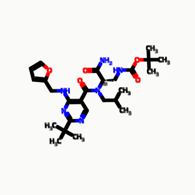 CC(C)CN(C(=O)c1cnc(C(C)(C)C)nc1NCc1ccco1)[C@@H](CNC(=O)OC(C)(C)C)C(N)=O